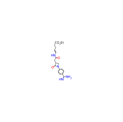 CCOC(=O)CCC=CNC(=O)CC1CN(c2ccc(C(=N)N)cc2)C1=O